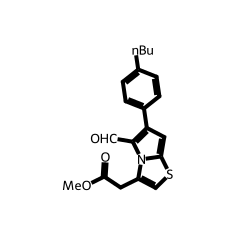 CCCCc1ccc(-c2cc3scc(CC(=O)OC)n3c2C=O)cc1